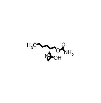 CCCCCCOC(N)=O.OC12CN1C2